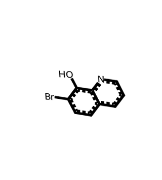 Oc1c(Br)ccc2cccnc12